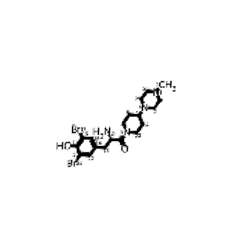 CN1CCN(C2CCN(C(=O)[C@H](N)Cc3cc(Br)c(O)c(Br)c3)CC2)CC1